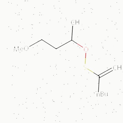 C=C(CCCC)SOC(C)CCOC